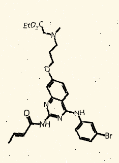 CC=CC(=O)Nc1nc(Nc2cccc(Br)c2)c2ccc(OCCCN(C)CC(=O)OCC)cc2n1